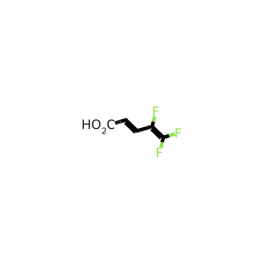 O=C(O)/C=C/C(F)=C(F)F